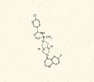 CC(C)(NC(=O)c1ccc(Cl)nc1)[C@H]1C[C@H]2C[C@@H](c3ccnc4ccc(F)cc34)C[C@H]2C1